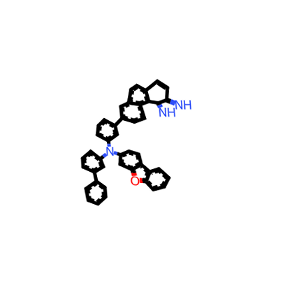 N=C1C=Cc2ccc3cc(-c4cccc(N(c5cccc(-c6ccccc6)c5)c5ccc6c(c5)oc5ccccc56)c4)ccc3c2C1=N